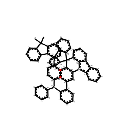 CC1(C)c2ccccc2-c2c(-c3ccc(N(c4ccccc4)c4ccccc4-c4ccc5c(c4)-n4c6ccccc6c6cccc(c64)C54c5ccccc5-c5ccccc54)cc3)cccc21